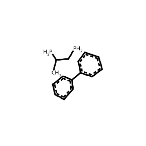 CC(P)CP.c1ccc(-c2ccccc2)cc1